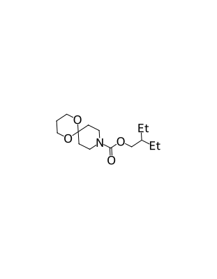 CCC(CC)COC(=O)N1CCC2(CC1)OCCCO2